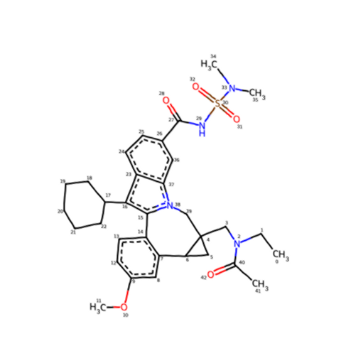 CCN(CC12CC1c1cc(OC)ccc1-c1c(C3CCCCC3)c3ccc(C(=O)NS(=O)(=O)N(C)C)cc3n1C2)C(C)=O